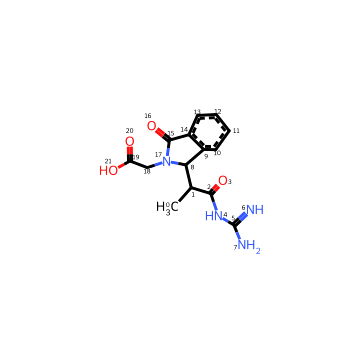 CC(C(=O)NC(=N)N)C1c2ccccc2C(=O)N1CC(=O)O